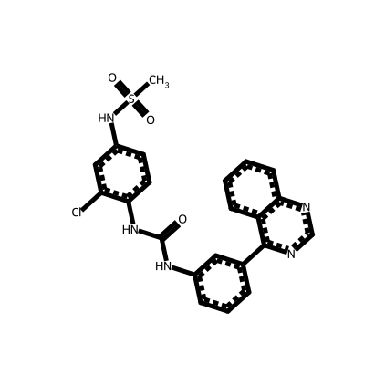 CS(=O)(=O)Nc1ccc(NC(=O)Nc2cccc(-c3ncnc4ccccc34)c2)c(Cl)c1